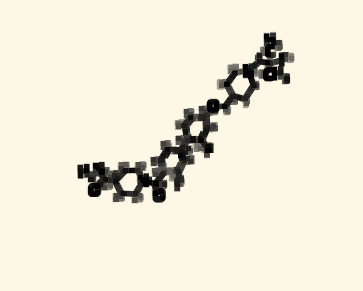 CC(C)(F)CN1CCC(COc2ccc(-c3ccc(C(=O)N4CCC(C(N)=O)CC4)c(F)c3)c(F)c2)CC1